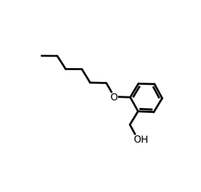 CCCCCCOc1ccccc1CO